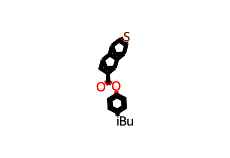 CCC(C)c1ccc(OC(=O)C2CC3CC2C2C4CC(C5SC45)C32)cc1